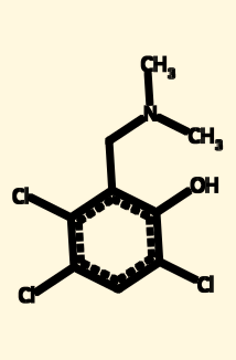 CN(C)Cc1c(O)c(Cl)cc(Cl)c1Cl